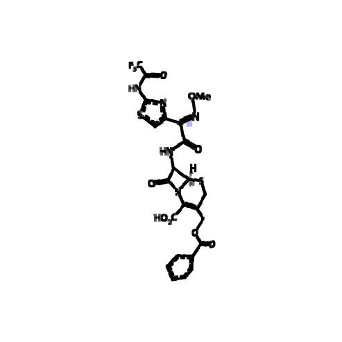 CO/N=C(/C(=O)NC1C(=O)N2C(C(=O)O)=C(COC(=O)c3ccccc3)CS[C@H]12)c1csc(NC(=O)C(F)(F)F)n1